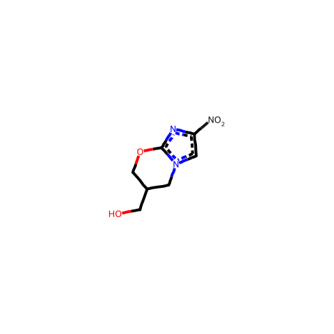 O=[N+]([O-])c1cn2c(n1)OCC(CO)C2